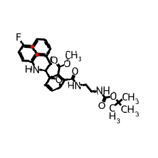 COC(=O)C1=C(C(=O)NCCNC(=O)OC(C)(C)C)C2C=CC1(C(Cc1ccccc1)Nc1ccc(F)cc1)O2